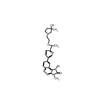 CC(OCCN1CCC(C)(C#N)C1)c1ccc(-c2ccc3nnc4c(c3c2)n(C(C)C)c(=O)n4C)cn1